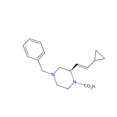 O=C(O)N1CCN(Cc2ccccc2)C[C@H]1C=CC1CC1